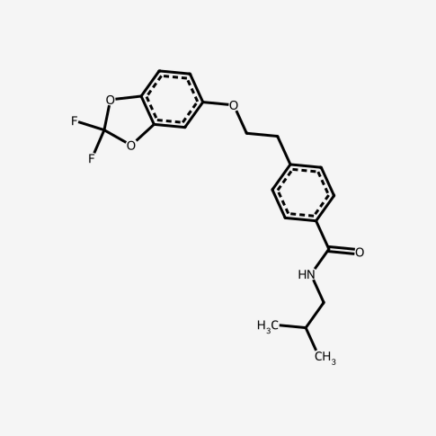 CC(C)CNC(=O)c1ccc(CCOc2ccc3c(c2)OC(F)(F)O3)cc1